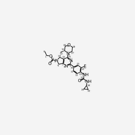 CCOC(=O)N1Cc2nc(-c3ccc(NC(=O)NC4CC4)c(F)c3)nc(N3CCOC[C@@H]3C)c2C1